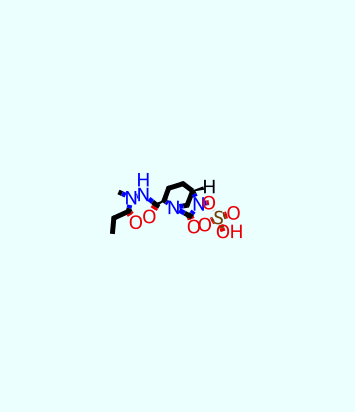 CCC(=O)N(C)NC(=O)[C@H]1CC[C@H]2CN1C(=O)N2OS(=O)(=O)O